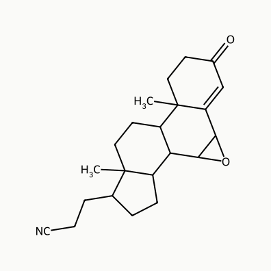 CC12CCC(=O)C=C1C1OC1C1C2CCC2(C)C(CCC#N)CCC12